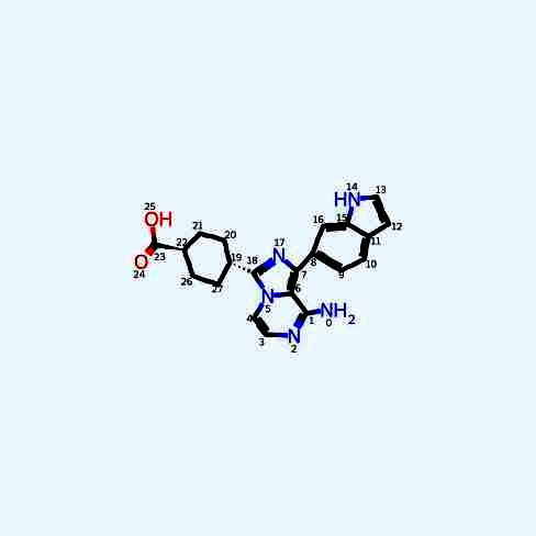 Nc1nccn2c1c(-c1ccc3cc[nH]c3c1)nc2[C@H]1CC[C@H](C(=O)O)CC1